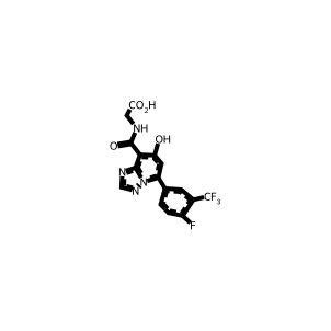 O=C(O)CNC(=O)c1c(O)cc(-c2ccc(F)c(C(F)(F)F)c2)n2ncnc12